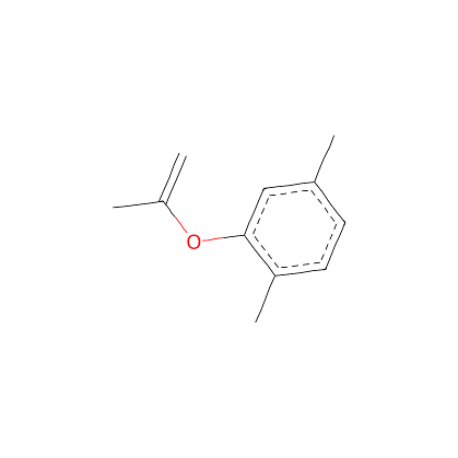 C=C(C)Oc1cc(C)ccc1C